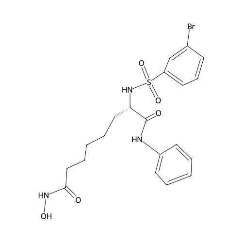 O=C(CCCCC[C@H](NS(=O)(=O)c1cccc(Br)c1)C(=O)Nc1ccccc1)NO